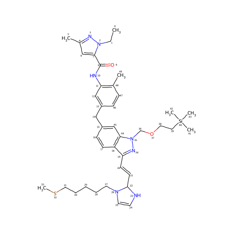 CCn1nc(C)cc1C(=O)Nc1cc(Cc2ccc3c(/C=C/C4NC=CN4CCCCCSC)nn(COCC[Si](C)(C)C)c3c2)ccc1C